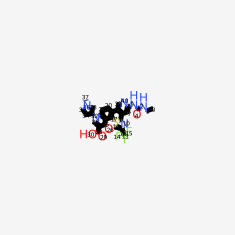 CCNC(=O)Nc1cc(-c2nc(C(F)(F)F)cs2)c(-c2ccc3c(c2)c(=O)c(C(=O)O)cn3[C@@H]2CCN(C)C2)cn1